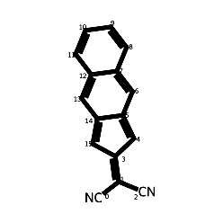 N#CC(C#N)=C1C=c2cc3ccccc3cc2=C1